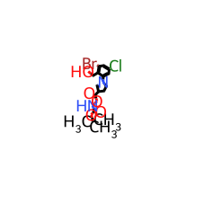 CC(C)(C)OC(=O)NOC(=O)C1CCN(c2cc(Cl)cc(Br)c2CO)C1